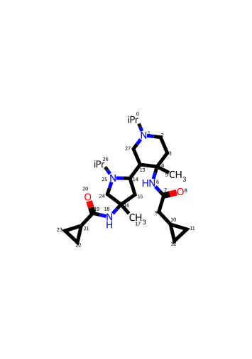 CC(C)N1CCC(C)(NC(=O)CC2CC2)C(C2CC(C)(NC(=O)C3CC3)CN2C(C)C)C1